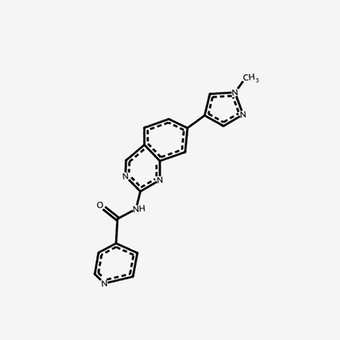 Cn1cc(-c2ccc3cnc(NC(=O)c4ccncc4)nc3c2)cn1